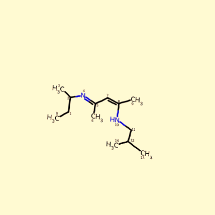 CCC(C)/N=C(C)/C=C(/C)NCC(C)C